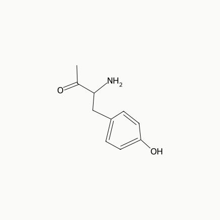 CC(=O)C(N)Cc1ccc(O)cc1